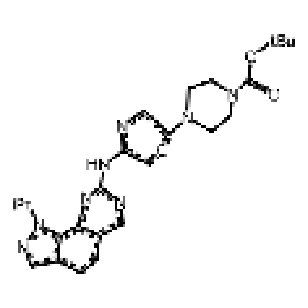 CC(C)n1ncc2ccc3cnc(Nc4ccc(N5CCN(C(=O)OC(C)(C)C)CC5)cn4)nc3c21